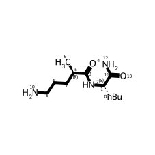 CCCC[C@H](NC(=O)[C@H](C)CCCN)C(N)=O